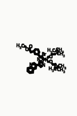 CCOC(=O)CC1CCCC(c2nc3c(-c4cnc5ccccc5c4)cnn3c(N(COCC[Si](C)(C)C)COCC[Si](C)(C)C)c2Br)C1